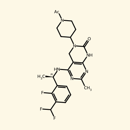 CC(=O)N1CCC(N2Cc3c(nc(C)nc3N[C@H](C)c3cccc(C(F)F)c3F)NC2=O)CC1